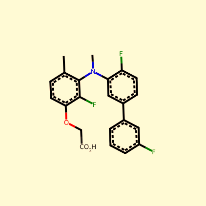 Cc1ccc(OCC(=O)O)c(F)c1N(C)c1cc(-c2cccc(F)c2)ccc1F